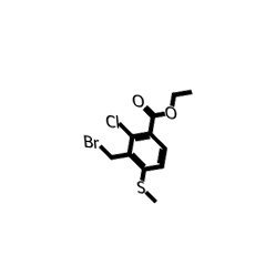 CCOC(=O)c1ccc(SC)c(CBr)c1Cl